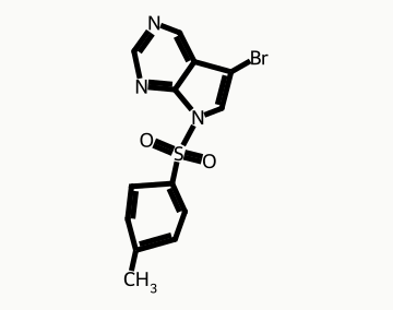 Cc1ccc(S(=O)(=O)n2cc(Br)c3cncnc32)cc1